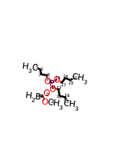 BC(=O)OC.CCCCOP(OCCCC)OCCCC